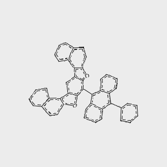 c1ccc(-c2c3ccccc3c(-c3c4oc5ccc6ccccc6c5c4cc4c3oc3ccc5ccccc5c34)c3ccccc23)cc1